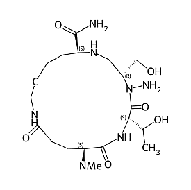 CN[C@H]1CCC(=O)NCCCC[C@@H](C(N)=O)NC[C@H](CO)N(N)C(=O)[C@H](C(C)O)NC1=O